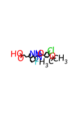 CC(C)Oc1ccc(-c2nc(-c3c(F)ccc4c(CCC(=O)O)c[nH]c34)no2)cc1Cl